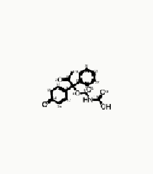 CC(=O)C(OC(=O)NC(=O)O)(C1=CCC(=O)C=C1)c1ccccc1